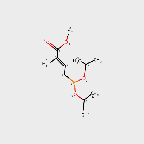 COC(=O)C(C)=CCP(OC(C)C)OC(C)C